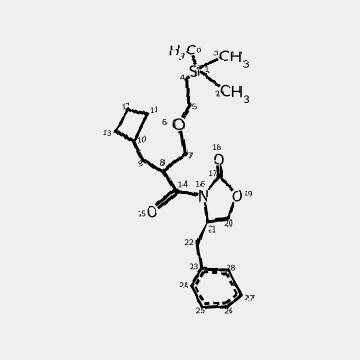 C[Si](C)(C)CCOCC(CC1CCC1)C(=O)N1C(=O)OC[C@H]1Cc1ccccc1